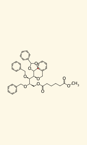 COC(=O)CCCCC(=O)OC[C@@H](OCc1ccccc1)[C@@H](OCc1ccccc1)[C@H](OCc1ccccc1)C1COC(c2ccccc2)O1